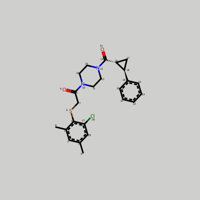 Cc1cc(C)c(SCC(=O)N2CCN(C(=O)[C@@H]3C[C@H]3c3ccccc3)CC2)c(Cl)c1